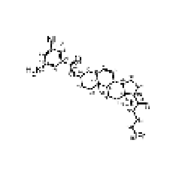 CCC12CCC3C(C=CC4CC(OC(=O)c5cc(N)cc(N)c5)CCC43C)C1CCC2C(C)CCCC(C)C